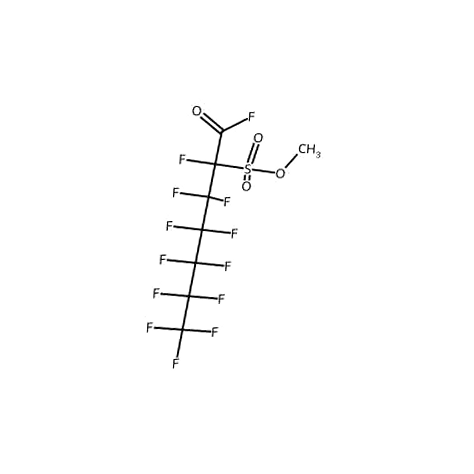 COS(=O)(=O)C(F)(C(=O)F)C(F)(F)C(F)(F)C(F)(F)C(F)(F)C(F)(F)F